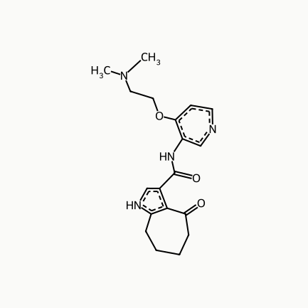 CN(C)CCOc1ccncc1NC(=O)c1c[nH]c2c1C(=O)CCCC2